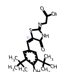 CC(C)(C)c1cc(/C=C2/SC(=NCC(=O)O)NC2=O)cc(C(C)(C)C)c1O